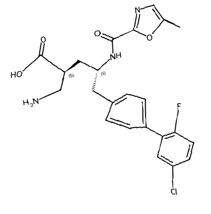 Cc1cnc(C(=O)N[C@H](Cc2ccc(-c3cc(Cl)ccc3F)cc2)C[C@@H](CN)C(=O)O)o1